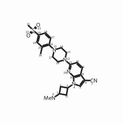 CNC1CC(n2cc(C#N)c3ccc(N4CCN(c5ccc(S(C)(=O)=O)cc5C)CC4)nc32)C1